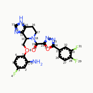 Nc1cc(F)ccc1OCC1c2nc[nH]c2CCN1C(=O)c1nnc(-c2ccc(F)c(F)c2)o1